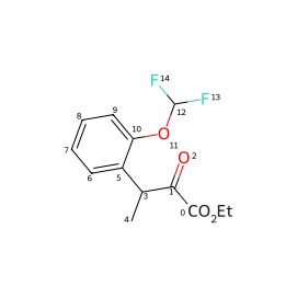 CCOC(=O)C(=O)C(C)c1ccccc1OC(F)F